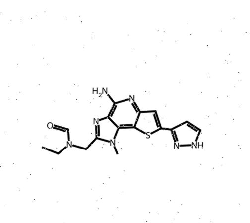 CCN(C=O)Cc1nc2c(N)nc3cc(-c4cc[nH]n4)sc3c2n1C